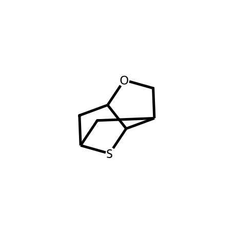 C1OC2CC3CC1C2S3